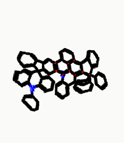 c1ccc(N2c3ccccc3C3(c4ccccc4-c4ccc(N(c5ccc6c(c5)C(c5ccccc5)(c5ccccc5)c5ccccc5-6)c5ccccc5-c5ccccc5-c5cccc6ccccc56)cc43)c3ccccc32)cc1